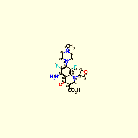 CN1CCN(c2c(F)c(N)c3c(=O)c(C(=O)O)cn(C4COC4)c3c2F)CC1